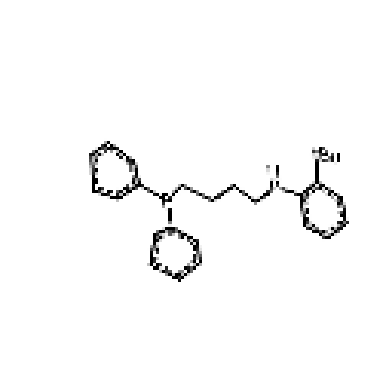 CC(C)(C)c1ccccc1PCCCCP(c1ccccc1)c1ccccc1